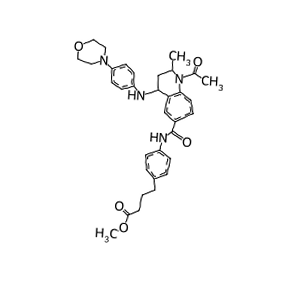 COC(=O)CCCc1ccc(NC(=O)c2ccc3c(c2)C(Nc2ccc(N4CCOCC4)cc2)CC(C)N3C(C)=O)cc1